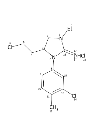 CCN1CC(CCCl)N(c2ccc(C)c(Cl)c2)C1=N.Cl